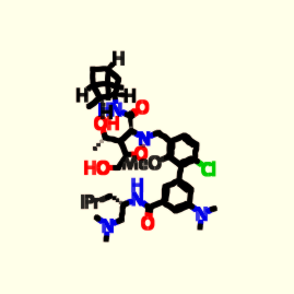 COc1c(CN2O[C@@H](CO)C([C@H](C)O)[C@H]2C(=O)N[C@H]2C[C@H]3C[C@@H]([C@@H]2C)C3(C)C)ccc(Cl)c1-c1cc(C(=O)N[C@@H](CC(C)C)CN(C)C)cc(N(C)C)c1